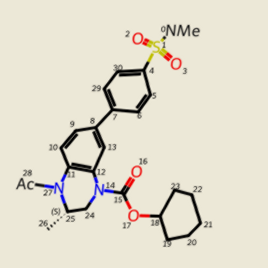 CNS(=O)(=O)c1ccc(-c2ccc3c(c2)N(C(=O)OC2CCCCC2)C[C@H](C)N3C(C)=O)cc1